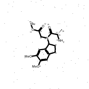 COc1cc2c(cc1OC)C(N(CC(=O)OC(C)(C)C)C(=O)[C@H](C)N)CC2